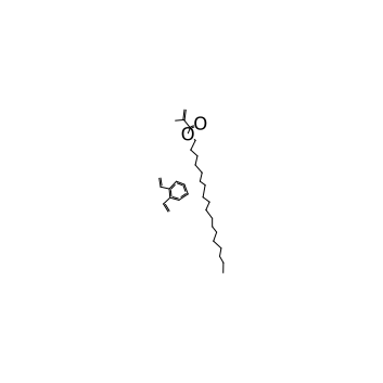 C=C(C)C(=O)OCCCCCCCCCCCCCCCCCC.C=Cc1ccccc1C=C